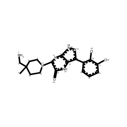 CC1(CN)CCN(c2nc3[nH]nc(-c4cccc(Cl)c4Cl)c3[nH]c2=O)CC1